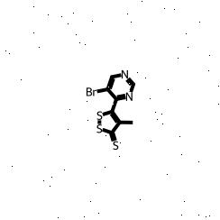 Cc1c(-c2ncncc2Br)ssc1=S